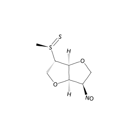 C[S@@](=S)[C@H]1CO[C@H]2[C@@H]1OC[C@H]2N=O